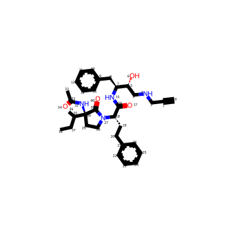 C#CCNC[C@@H](O)[C@H](Cc1ccccc1)NC(=O)[C@H](CCc1ccccc1)N1CC[C@](NC(C)=O)(C(C)CC)C1=O